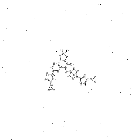 O=C(C1CCC(F)(F)C1)N(CC12CCC(c3nc(C4CC4)no3)=C(C1)C2)c1cccc(-c2nc(C3CC3)no2)c1